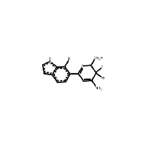 NC1=CC(c2ccc3cc[nH]c3c2F)=NC(C(=O)O)C1(F)Cl